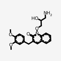 COc1ccc(Cc2cc3ccccc3n(OCC(O)CN)c2=O)cc1OC